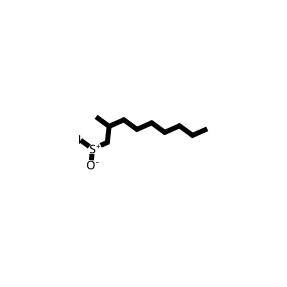 CCCCCCCC(C)C[S+]([O-])I